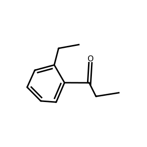 CCC(=O)c1ccccc1CC